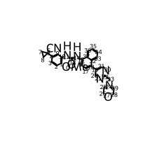 COc1ccc(C2(C#N)CC2)cc1NC(=O)Nc1ccc(-c2cnc(CN3CCOCC3)nc2)c2ccccc12